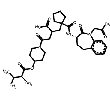 CC(C)[C@H](N)C(=O)OC1CCN(C(=O)CC(CC2(C(=O)N[C@H]3CCc4ccccc4N(CC(=O)O)C3=O)CCCC2)C(=O)O)CC1